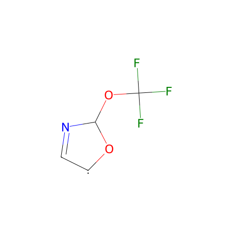 FC(F)(F)OC1N=C[CH]O1